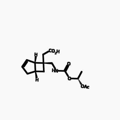 CC(=O)O[C@@H](C)OC(=O)NC[C@@]1(CC(=O)O)C[C@@H]2CC=C[C@@H]21